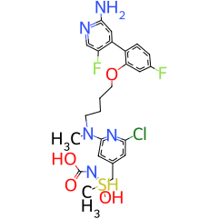 CN(CCCCOc1cc(F)ccc1-c1cc(N)ncc1F)c1cc(C[SH](C)(O)=NC(=O)O)cc(Cl)n1